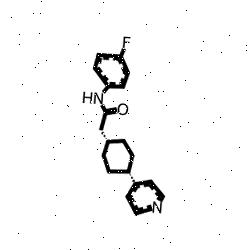 O=C(C[C@H]1CC[C@@H](c2ccncc2)CC1)Nc1ccc(F)cc1